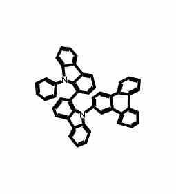 c1ccc(-n2c3ccccc3c3cccc(-c4cccc5c6ccccc6n(-c6ccc7c8ccccc8c8ccccc8c7c6)c45)c32)cc1